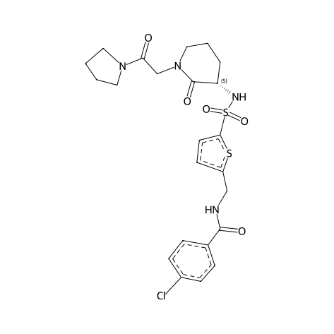 O=C(NCc1ccc(S(=O)(=O)N[C@H]2CCCN(CC(=O)N3CCCC3)C2=O)s1)c1ccc(Cl)cc1